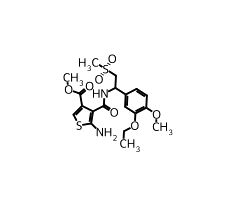 CCOc1cc(C(CS(C)(=O)=O)NC(=O)c2c(C(=O)OC)csc2N)ccc1OC